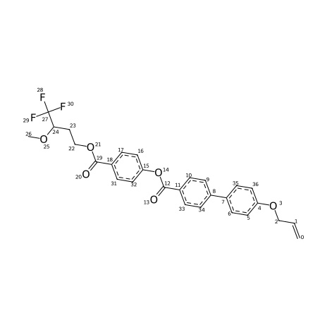 C=CCOc1ccc(-c2ccc(C(=O)Oc3ccc(C(=O)OCCC(OC)C(F)(F)F)cc3)cc2)cc1